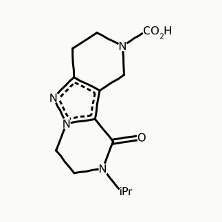 CC(C)N1CCn2nc3c(c2C1=O)CN(C(=O)O)CC3